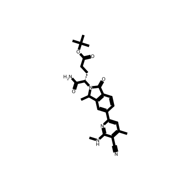 CNc1nc(-c2ccc3c(c2)C(C)N([C@@H](CCC(=O)OC(C)(C)C)C(N)=O)C3=O)cc(C)c1C#N